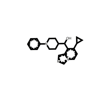 OC(c1c(C2CC2)ccn2cncc12)C1CCN(c2ccccc2)CC1